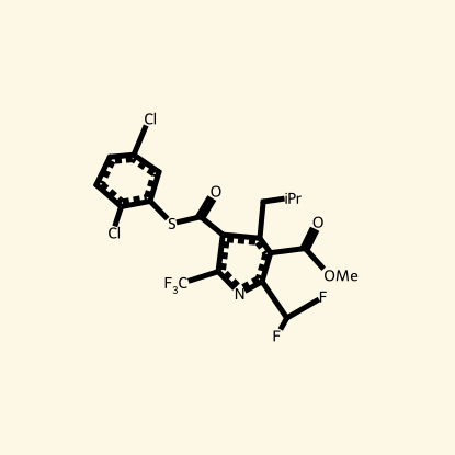 COC(=O)c1c(C(F)F)nc(C(F)(F)F)c(C(=O)Sc2cc(Cl)ccc2Cl)c1CC(C)C